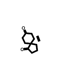 C=C.O=C1CCC2(CCCC2=O)CC1